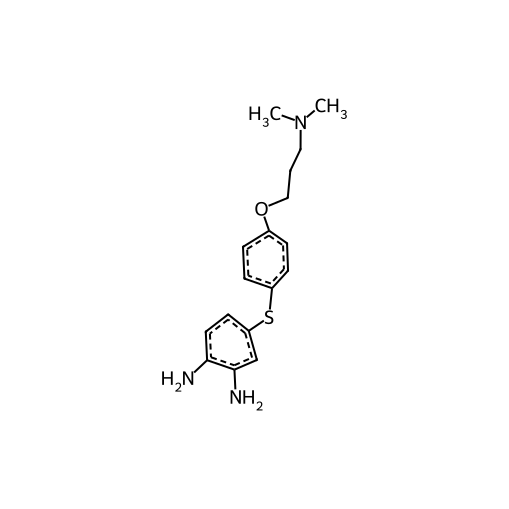 CN(C)CCCOc1ccc(Sc2ccc(N)c(N)c2)cc1